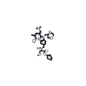 COCC(NCc1ccc2c(c1)nc(C(/C=C(/C)C=O)=C/N(C)C)n2CC1COCCN1C)C(=O)OC1CCCC1